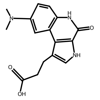 CN(C)c1ccc2[nH]c(=O)c3[nH]cc(CCC(=O)O)c3c2c1